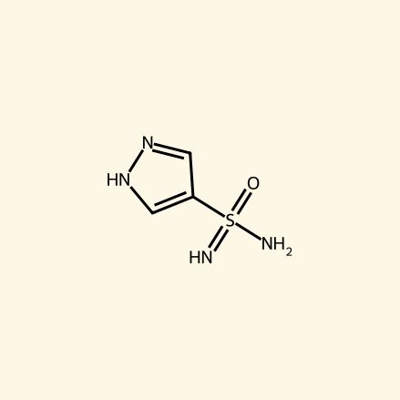 N=S(N)(=O)c1cn[nH]c1